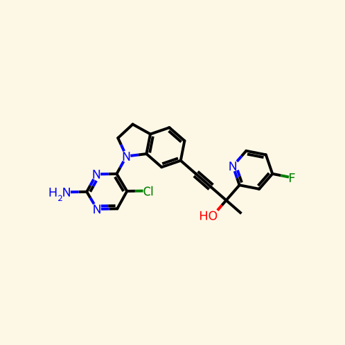 CC(O)(C#Cc1ccc2c(c1)N(c1nc(N)ncc1Cl)CC2)c1cc(F)ccn1